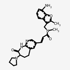 Cc1oc2c(N)cccc2c1CN(C)C(=O)/C=C/c1cnc2c(c1)CCC(N1CCCC1)C(=O)N2